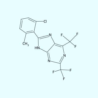 Cc1cccc(Cl)c1-c1nc2c(C(F)(F)F)nc(C(F)(F)F)nc2[nH]1